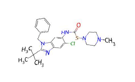 CN1CCN(SC(=O)Nc2cc3c(cc2Cl)nc(C(C)(C)C)n3Cc2ccccc2)CC1